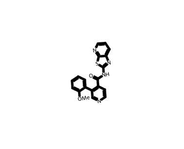 COc1ccccc1-c1cnccc1C(=O)Nc1nc2cccnc2s1